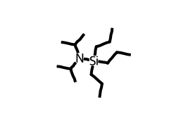 CCC[Si](CCC)(CCC)N(C(C)C)C(C)C